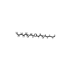 CCCCCSCCOCCSCCCCC